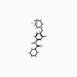 Cc1cc(N(C)C(=O)C2[CH]CCCC2)ccc1CN1CCN[C@@H](C)C1